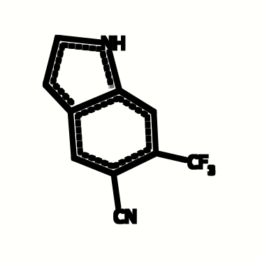 N#Cc1cc2cc[nH]c2cc1C(F)(F)F